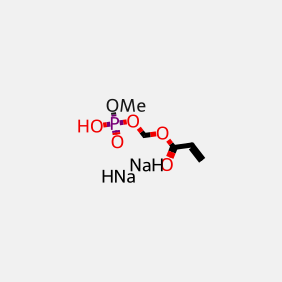 C=CC(=O)OCOP(=O)(O)OC.[NaH].[NaH]